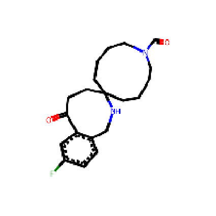 O=CN1CCCCC2(CCCC1)CCC(=O)c1cc(F)ccc1CN2